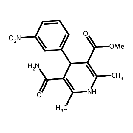 COC(=O)C1=C(C)NC(C)=C(C(N)=O)C1c1cccc([N+](=O)[O-])c1